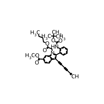 C#CC#CC#Cc1c(-c2ccccc2NC(=O)OC(C)(C)C)n(CC(=O)OCCCC)c2cc(C(=O)OC)ccc12